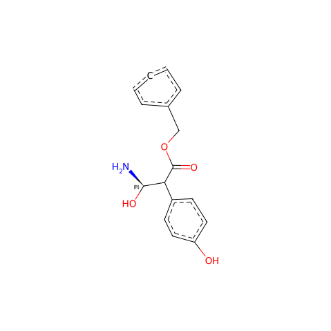 N[C@H](O)C(C(=O)OCc1ccccc1)c1ccc(O)cc1